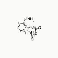 CC.NCc1ccccc1.O=[PH](O)O[PH](=O)O